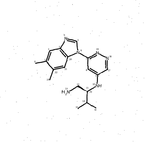 Cc1cc2ncn(-c3cc(N[C@H](CN)C(C)C)cnn3)c2cc1C